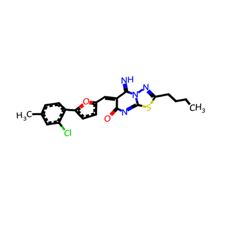 CCCCC1=NN2C(=N)/C(=C/c3ccc(-c4ccc(C)cc4Cl)o3)C(=O)N=C2S1